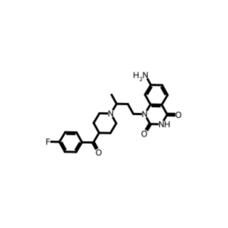 CC(CCn1c(=O)[nH]c(=O)c2ccc(N)cc21)N1CCC(C(=O)c2ccc(F)cc2)CC1